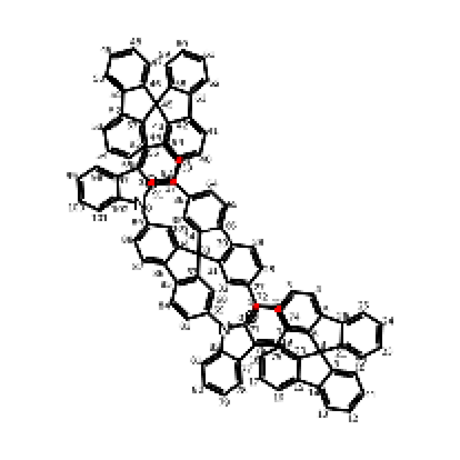 O=C(c1ccc2c(c1)C1(c3ccccc3-c3ccccc31)c1ccccc1-2)c1ccc2c(c1)C1(c3cc(C(=O)c4ccc5c(c4)C4(c6ccccc6-c6ccccc64)c4ccccc4-5)ccc3-2)c2cc(-n3c4ccccc4c4ccccc43)ccc2-c2ccc(-n3c4ccccc4c4ccccc43)cc21